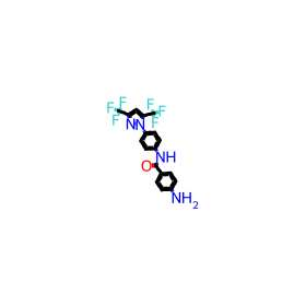 Nc1ccc(C(=O)Nc2ccc(-n3nc(C(F)(F)F)cc3C(F)(F)F)cc2)cc1